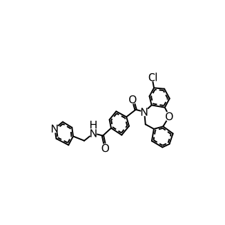 O=C(NCc1ccncc1)c1ccc(C(=O)N2Cc3ccccc3Oc3ccc(Cl)cc32)cc1